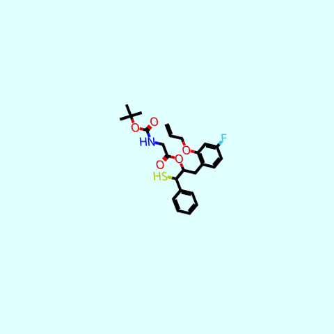 C=CCOc1cc(F)ccc1CC(OC(=O)CNC(=O)OC(C)(C)C)C(S)c1ccccc1